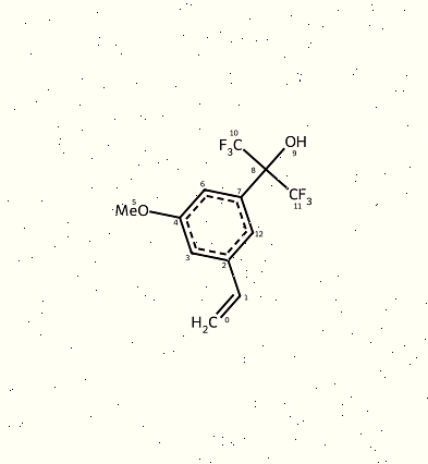 C=Cc1cc(OC)cc(C(O)(C(F)(F)F)C(F)(F)F)c1